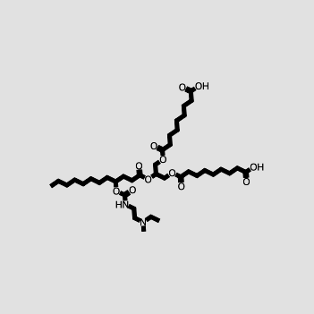 CCCCCCCCC(CCC(=O)OC(COC(=O)CCCCCCCC(=O)O)COC(=O)CCCCCCCC(=O)O)OC(=O)NCCN(C)CC